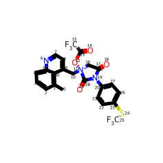 Cc1cccc2nccc(C[N+]3(OC(=O)C(F)(F)F)CC(=O)N(c4ccc(SC(F)(F)F)cc4)C3=O)c12